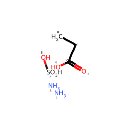 CCC(=O)O.N.N.O=S(=O)(O)O